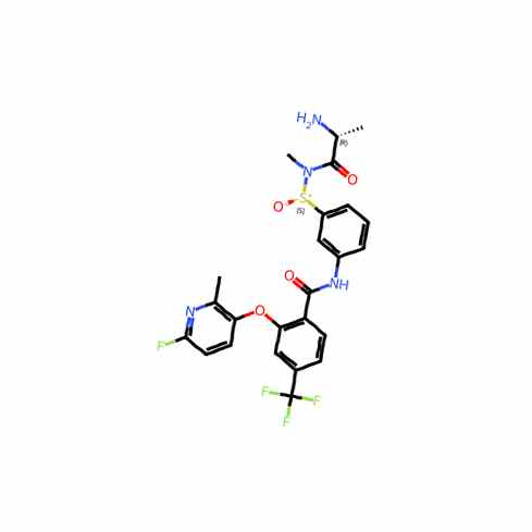 Cc1nc(F)ccc1Oc1cc(C(F)(F)F)ccc1C(=O)Nc1cccc([S@@+]([O-])N(C)C(=O)[C@@H](C)N)c1